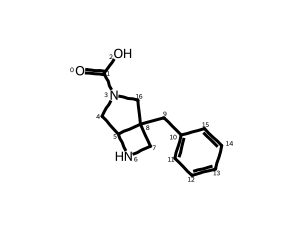 O=C(O)N1CC2NCC2(Cc2ccccc2)C1